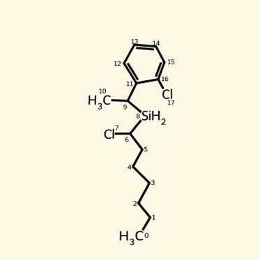 CCCCCCC(Cl)[SiH2]C(C)c1ccccc1Cl